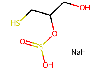 O=S(O)OC(CO)CS.[NaH]